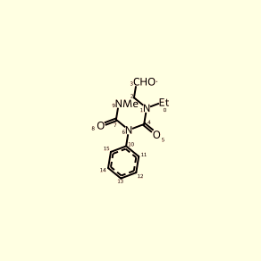 CCN(C[C]=O)C(=O)N(C(=O)NC)c1ccccc1